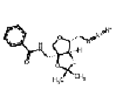 CC1(C)O[C@@H]2[C@@H](CN=[N+]=[N-])OC[C@]2(CNC(=O)c2ccccc2)O1